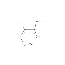 CC(C)(C)Cc1c(C(F)(F)F)cccc1C(F)(F)F